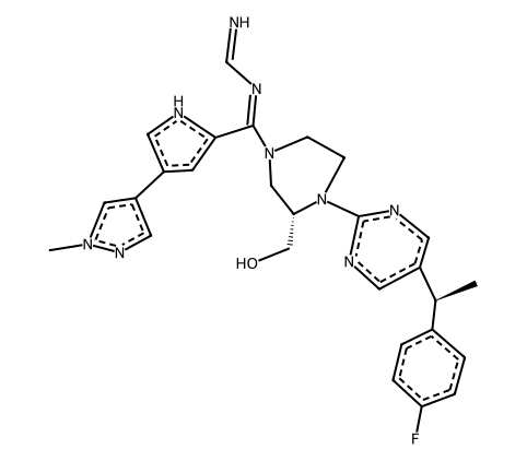 C[C@@H](c1ccc(F)cc1)c1cnc(N2CCN(/C(=N/C=N)c3cc(-c4cnn(C)c4)c[nH]3)C[C@H]2CO)nc1